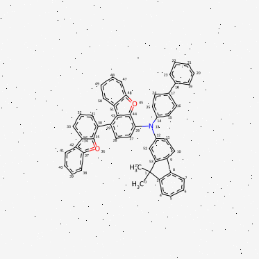 CC1(C)c2ccccc2-c2ccc(N(c3ccc(-c4ccccc4)cc3)c3ccc(-c4cccc5c4oc4ccccc45)c4c3oc3ccccc34)cc21